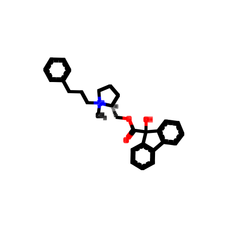 C[N+]1(CCCc2ccccc2)CCC[C@@H]1COC(=O)C1(O)c2ccccc2-c2ccccc21